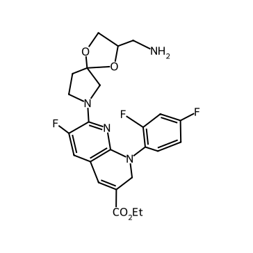 CCOC(=O)C1=Cc2cc(F)c(N3CCC4(C3)OCC(CN)O4)nc2N(c2ccc(F)cc2F)C1